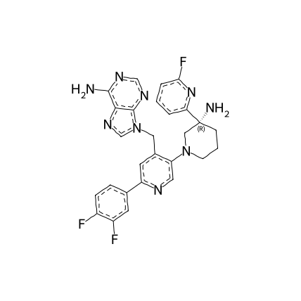 Nc1ncnc2c1ncn2Cc1cc(-c2ccc(F)c(F)c2)ncc1N1CCC[C@](N)(c2cccc(F)n2)C1